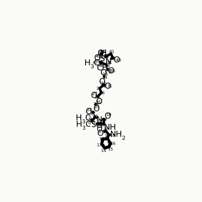 CC1(C)S[C@@H]2[C@H](NC(=O)C(N)c3ccccc3)C(=O)N2[C@H]1C(=O)OCOC(=O)CCC(=O)OCOC(=O)[C@@H]1N2C(=O)C[C@H]2S(=O)(=O)C1(C)C